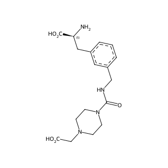 N[C@@H](Cc1cccc(CNC(=O)N2CCN(CC(=O)O)CC2)c1)C(=O)O